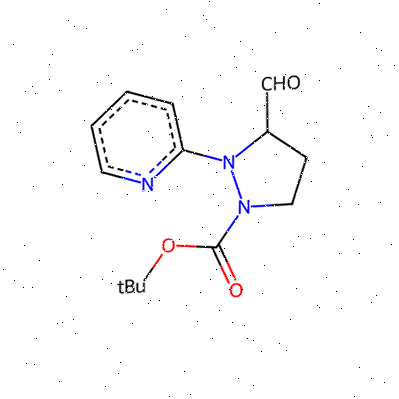 CC(C)(C)OC(=O)N1CCC(C=O)N1c1ccccn1